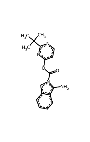 CC(C)(C)c1nccc(OC(=O)n2cc3ccccc3c2N)n1